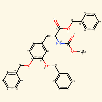 CC(C)(C)OC(=O)N[C@@H](Cc1ccc(OCc2ccccc2)c(OCc2ccccc2)c1)C(=O)OCc1ccccc1